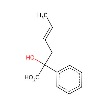 CC=CCC(O)(C(=O)O)c1ccccc1